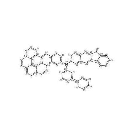 C1=Cc2ccc3ccc4cccc(C=Cc5ccc(N(c6cccc(-c7ccccc7)c6)c6ccc7cc8sc9ccccc9c8cc7c6)cc5)c4c3c2CC1